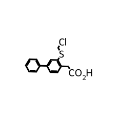 O=C(O)Cc1ccc(-c2ccccc2)cc1SCCl